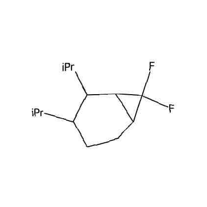 CC(C)C1CCC2C(C1C(C)C)C2(F)F